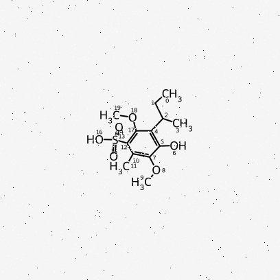 CCC(C)c1c(O)c(OC)c(C)c(S(=O)(=O)O)c1OC